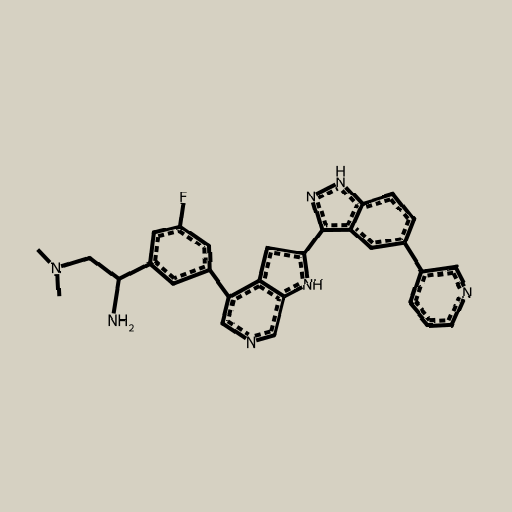 CN(C)CC(N)c1cc(F)cc(-c2cncc3[nH]c(-c4n[nH]c5ccc(-c6cccnc6)cc45)cc23)c1